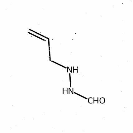 C=CCNNC=O